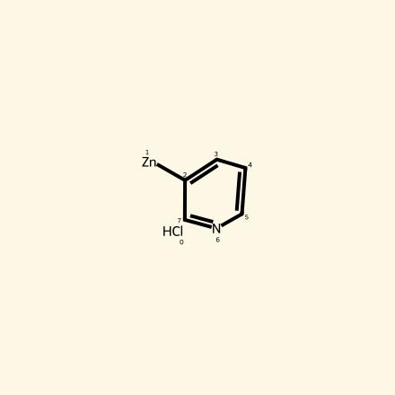 Cl.[Zn][c]1cccnc1